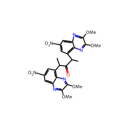 COc1nc2cc([N+](=O)[O-])cc(C(C)C(=O)C(C)c3cc([N+](=O)[O-])cc4nc(OC)c(OC)nc34)c2nc1OC